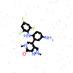 Cn1cc2c(-c3cc(N)ccc3Nc3c(F)cc(F)cc3F)cn(C)c(=O)c2n1